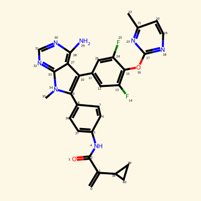 C=C(C(=O)Nc1ccc(-c2c(-c3cc(F)c(Oc4nccc(C)n4)c(F)c3)c3c(N)ncnc3n2C)cc1)C1CC1